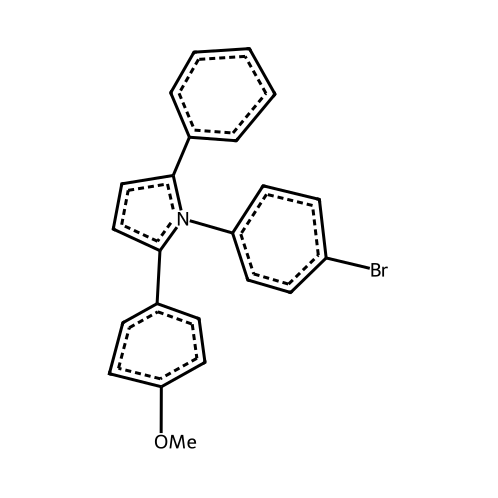 COc1ccc(-c2ccc(-c3ccccc3)n2-c2ccc(Br)cc2)cc1